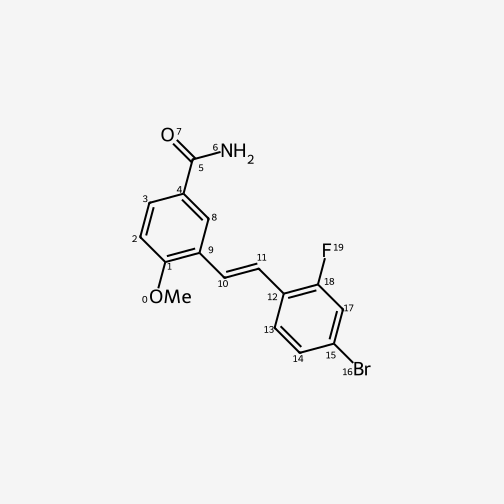 COc1ccc(C(N)=O)cc1C=Cc1ccc(Br)cc1F